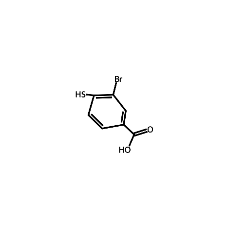 O=C(O)c1ccc(S)c(Br)c1